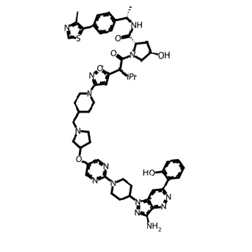 Cc1ncsc1-c1ccc([C@H](C)NC(=O)[C@@H]2C[C@@H](O)CN2C(=O)C(c2cc(N3CCC(CN4CCC(Oc5cnc(N6CCC(n7nc(N)c8nnc(-c9ccccc9O)cc87)CC6)nc5)C4)CC3)no2)C(C)C)cc1